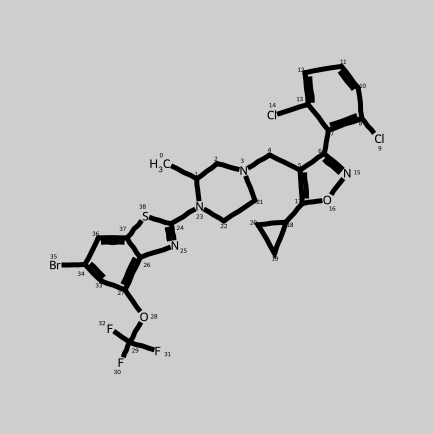 CC1CN(Cc2c(-c3c(Cl)cccc3Cl)noc2C2CC2)CCN1c1nc2c(OC(F)(F)F)cc(Br)cc2s1